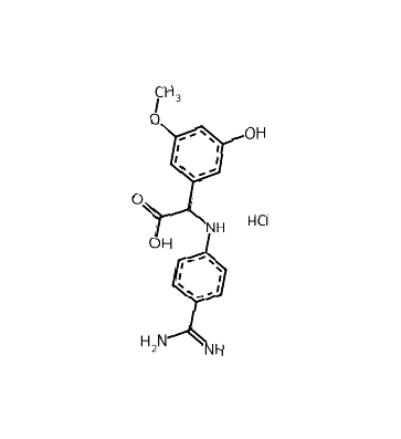 COc1cc(O)cc(C(Nc2ccc(C(=N)N)cc2)C(=O)O)c1.Cl